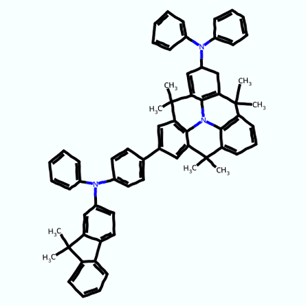 CC1(C)C2=CC(N(c3ccccc3)c3ccccc3)CC3=C2N2c4c1cc(-c1ccc(N(c5ccccc5)c5ccc6c(c5)C(C)(C)c5ccccc5-6)cc1)cc4C(C)(C)c1cccc(c12)C3(C)C